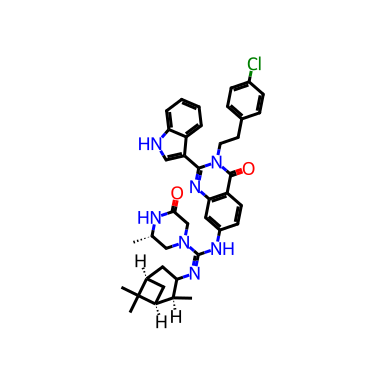 C[C@@H]1C(/N=C(/Nc2ccc3c(=O)n(CCc4ccc(Cl)cc4)c(-c4c[nH]c5ccccc45)nc3c2)N2CC(=O)N[C@@H](C)C2)C[C@H]2C[C@@H]1C2(C)C